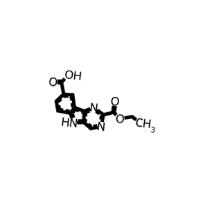 CCOC(=O)c1ncc2[nH]c3ccc(C(=O)O)cc3c2n1